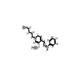 Br.CN(/N=C/C1=CCN(CCCCBr)C=C1)c1ccccc1